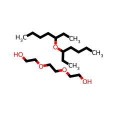 CCCCC(CC)OC(CC)CCCC.OCCOCCOCCO